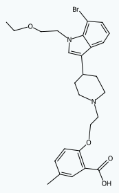 CCOCCn1cc(C2CCN(CCOc3ccc(C)cc3C(=O)O)CC2)c2cccc(Br)c21